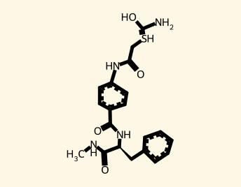 CNC(=O)[C@H](Cc1ccccc1)NC(=O)c1ccc(NC(=O)C[SH]=C(N)O)cc1